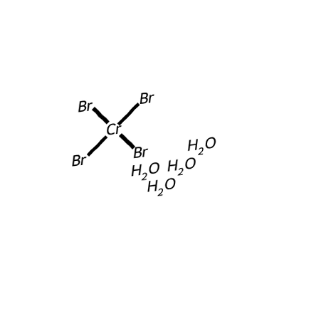 O.O.O.O.[Br][Cr]([Br])([Br])[Br]